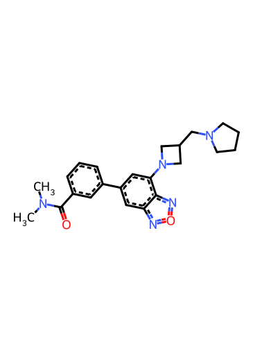 CN(C)C(=O)c1cccc(-c2cc(N3CC(CN4CCCC4)C3)c3nonc3c2)c1